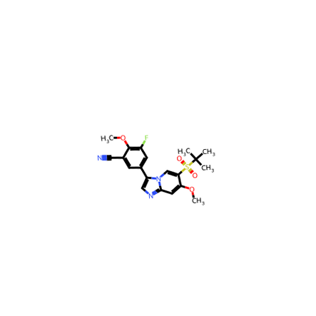 COc1cc2ncc(-c3cc(F)c(OC)c(C#N)c3)n2cc1S(=O)(=O)C(C)(C)C